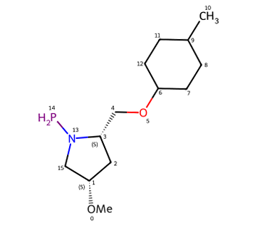 CO[C@H]1C[C@@H](COC2CCC(C)CC2)N(P)C1